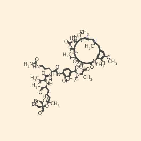 COc1cc2cc(c1Cl)N(C)C(=O)C[C@H](OC(=O)[C@H](C)N(C)C(=O)c1ccc(NC(=O)[C@H](CCCNC(N)=O)NC(=O)[C@@H](NC(C=O)CCCC(C)(C)OC(C=O)(CBr)CBr)C(C)C)c(O)c1)[C@]1(C)O[C@H]1[C@H](C)[C@@H]1C[C@@](O)(NC(=O)O1)[C@H](OC)/C=C/C=C(\C)C2